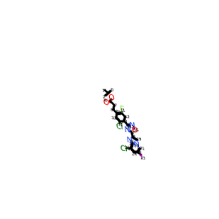 CC(C)(C)OC(=O)CCC1=C(F)CC(c2noc(-c3cn4cc(I)cc(Cl)c4n3)n2)C(Cl)=C1